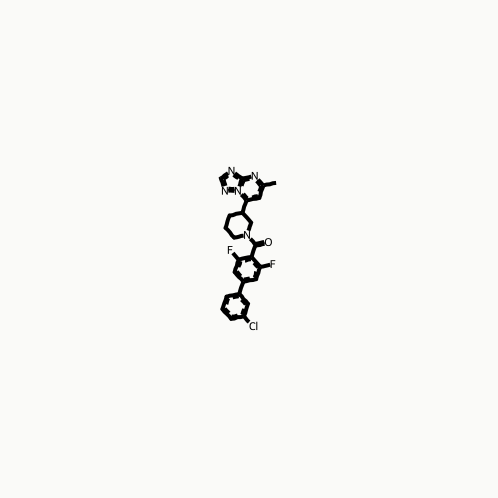 Cc1cc(C2CCCN(C(=O)c3c(F)cc(-c4cccc(Cl)c4)cc3F)C2)n2ncnc2n1